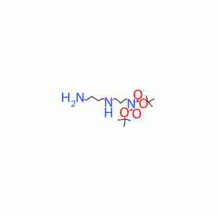 CC(C)(C)OC(=O)N(CCCNCCCCN)C(=O)OC(C)(C)C